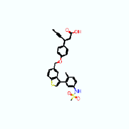 CC#CC(CC(=O)O)c1ccc(OCc2ccc3scc(-c4cc(NS(C)(=O)=O)ccc4C)c3c2)cc1